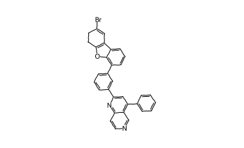 BrC1=Cc2c(oc3c(-c4cccc(-c5cc(-c6ccccc6)c6cnccc6n5)c4)cccc23)CC1